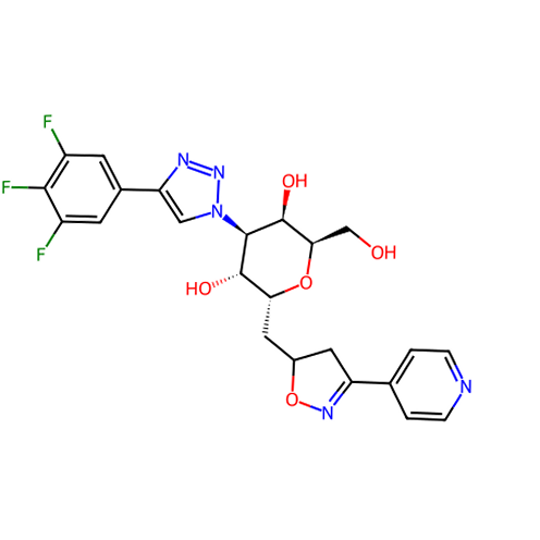 OC[C@H]1O[C@H](CC2CC(c3ccncc3)=NO2)[C@H](O)[C@@H](n2cc(-c3cc(F)c(F)c(F)c3)nn2)[C@H]1O